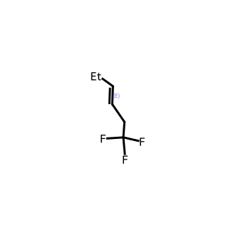 CC/C=C/CC(F)(F)F